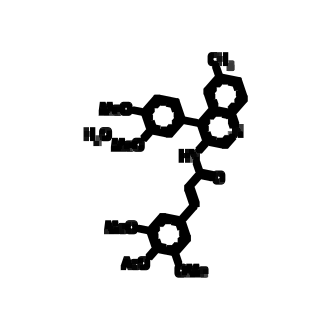 COc1ccc(-c2c(NC(=O)C=Cc3cc(OC)c(OC(C)=O)c(OC)c3)cnc3ccc(C)cc23)cc1OC.O